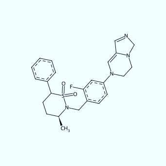 C[C@H]1CCC(c2ccccc2)S(=O)(=O)N1Cc1ccc(N2C=C3C=NCN3CC2)cc1F